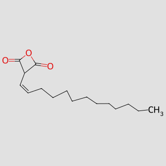 CCCCCCCCCCC/C=C\C1C(=O)OC1=O